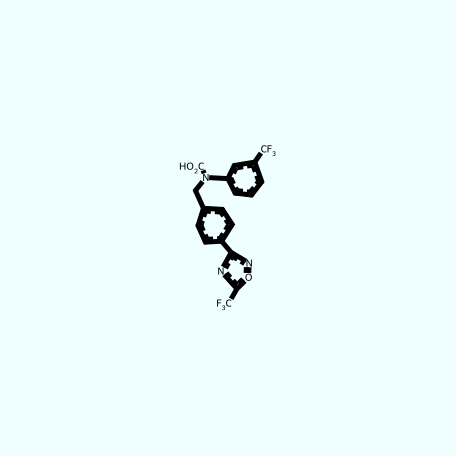 O=C(O)N(Cc1ccc(-c2noc(C(F)(F)F)n2)cc1)c1cccc(C(F)(F)F)c1